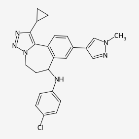 Cn1cc(-c2ccc3c(c2)C(Nc2ccc(Cl)cc2)CCn2nnc(C4CC4)c2-3)cn1